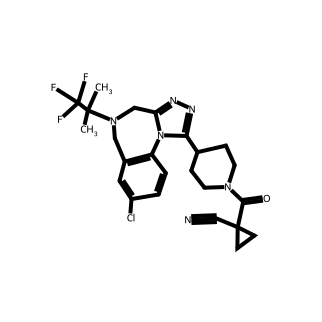 CC(C)(N1Cc2cc(Cl)ccc2-n2c(nnc2C2CCN(C(=O)C3(C#N)CC3)CC2)C1)C(F)(F)F